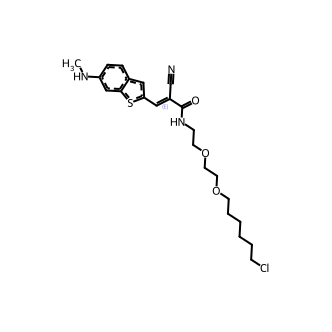 CNc1ccc2cc(/C=C(\C#N)C(=O)NCCOCCOCCCCCCCl)sc2c1